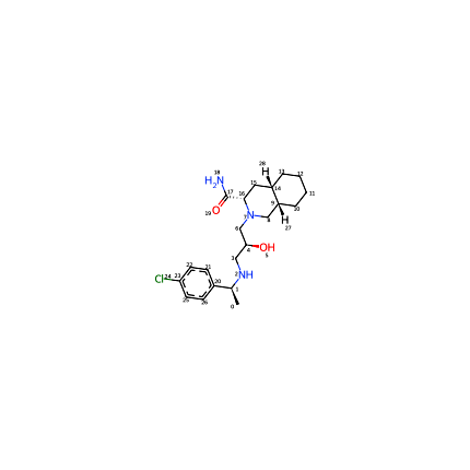 C[C@H](NC[C@H](O)CN1C[C@H]2CCCC[C@H]2C[C@H]1C(N)=O)c1ccc(Cl)cc1